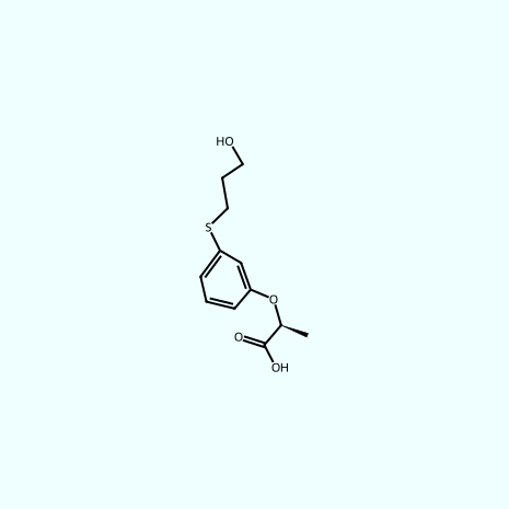 C[C@H](Oc1cccc(SCCCO)c1)C(=O)O